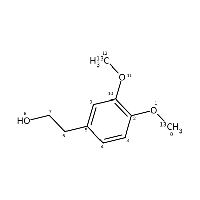 [13CH3]Oc1ccc(CCO)cc1O[13CH3]